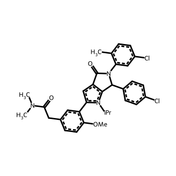 COc1ccc(CC(=O)N(C)C)cc1-c1cc2c(n1C(C)C)C(c1ccc(Cl)cc1)N(c1cc(Cl)ccc1C)C2=O